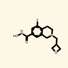 O=C(NO)c1cc(F)c2c(c1)CN(CC1COC1)CC2